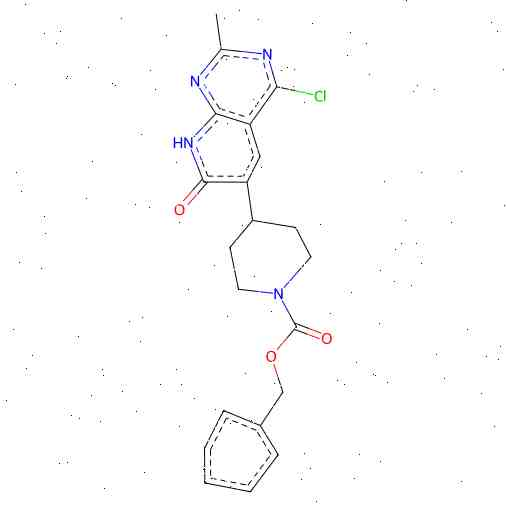 Cc1nc(Cl)c2cc(C3CCN(C(=O)OCc4ccccc4)CC3)c(=O)[nH]c2n1